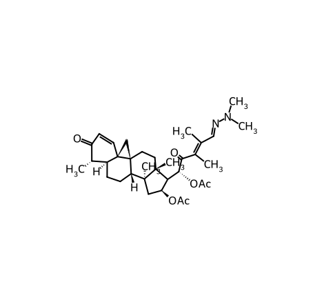 CC(=O)O[C@H]1C[C@@]2(C)[C@@H]3CC[C@H]4[C@H](C)C(=O)C=C[C@@]45C[C@@]35CC[C@]2(C)C1[C@@H](OC(C)=O)C(=O)/C(C)=C(C)/C=N/N(C)C